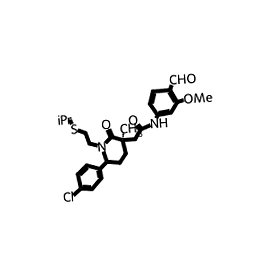 COc1cc(NC(=O)C[C@@]2(C)CCC(c3ccc(Cl)cc3)N(CCSC(C)C)C2=O)ccc1C=O